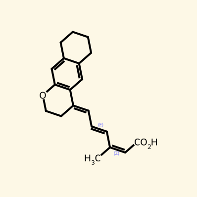 CC(=C/C(=O)O)/C=C/C=C1CCOc2cc3c(cc21)CCCC3